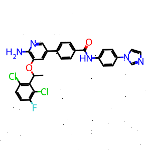 CC(Oc1cc(-c2ccc(C(=O)Nc3ccc(-n4ccnc4)cc3)cc2)cnc1N)c1c(Cl)ccc(F)c1Cl